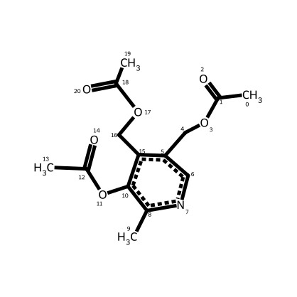 CC(=O)OCc1cnc(C)c(OC(C)=O)c1COC(C)=O